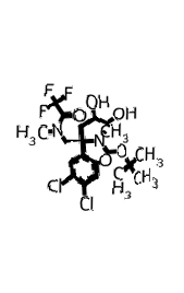 CN(C[C@](CC(O)CO)(c1ccc(Cl)c(Cl)c1)N(C)C(=O)OC(C)(C)C)C(=O)C(F)(F)F